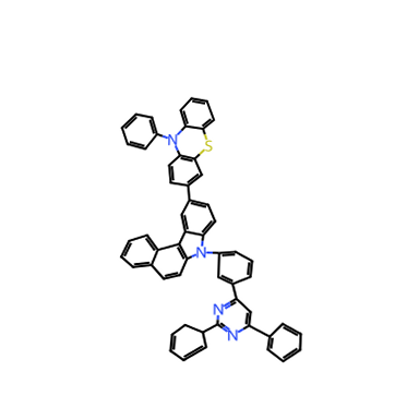 C1=CCC(c2nc(-c3ccccc3)cc(-c3cccc(-n4c5ccc(-c6ccc7c(c6)Sc6ccccc6N7c6ccccc6)cc5c5c6ccccc6ccc54)c3)n2)C=C1